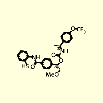 COC[C@@H](OC(=O)N[C@@H](C)c1ccc(OC(F)(F)F)cc1)c1ccc(C(=O)Nc2ccccc2S)cc1